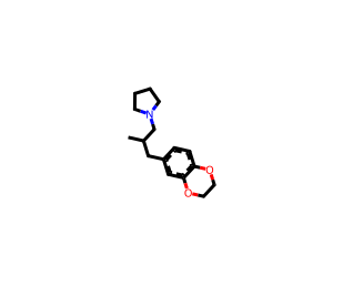 CC(Cc1ccc2c(c1)OCCO2)CN1CCCC1